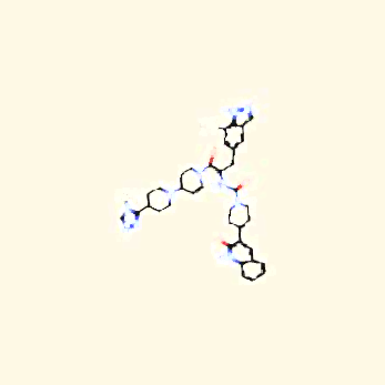 Cc1cc(CC(NC(=O)N2CCC(c3cc4ccccc4[nH]c3=O)CC2)C(=O)N2CCC(N3CCC(c4nncn4C)CC3)CC2)cc2cn[nH]c12